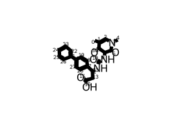 CC1=CN(C)C(=O)C(NC(=O)NC(CC(=O)O)c2ccc(-c3ccccc3)cc2)C1=O